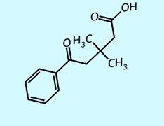 CC(C)(CC(=O)O)CC(=O)c1ccccc1